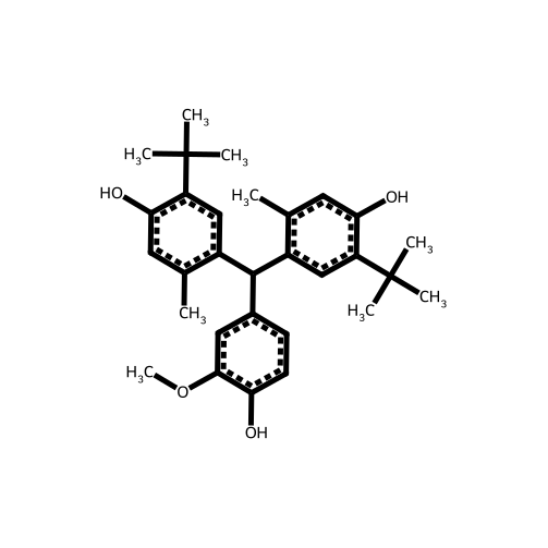 COc1cc(C(c2cc(C(C)(C)C)c(O)cc2C)c2cc(C(C)(C)C)c(O)cc2C)ccc1O